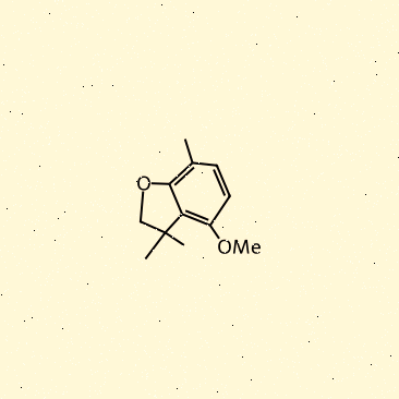 COc1ccc(C)c2c1C(C)(C)CO2